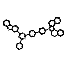 c1ccc(-c2nc(-c3ccc(-c4ccc(-n5c6c(c7c8ccccc8ccc75)-c5ccccc5CC6)cc4)cc3)nc(-c3ccc4c(c3)sc3ccccc34)n2)cc1